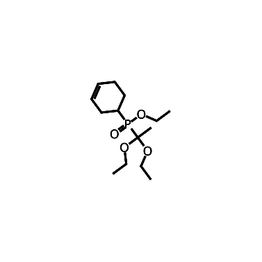 CCOC(C)(OCC)P(=O)(OCC)C1CC=CCC1